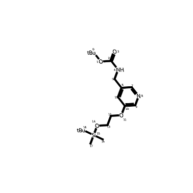 CC(C)(C)OC(=O)NCc1cncc(OCCO[Si](C)(C)C(C)(C)C)c1